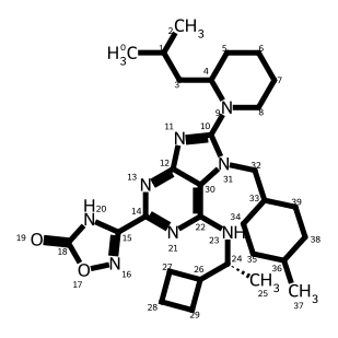 CC(C)CC1CCCCN1c1nc2nc(-c3noc(=O)[nH]3)nc(N[C@H](C)C3CCC3)c2n1CC1CCC(C)CC1